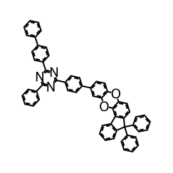 c1ccc(-c2ccc(-c3nc(-c4ccccc4)nc(-c4ccc(-c5ccc6c(c5)Oc5c(ccc7c5-c5ccccc5C7(c5ccccc5)c5ccccc5)O6)cc4)n3)cc2)cc1